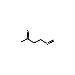 C=NCCC(C)=S